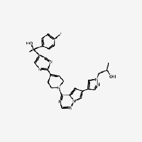 C[C@@H](O)Cn1cc(-c2cc3c(N4CC=C(c5ncc(C(C)(O)c6ccc(F)cc6)cn5)CC4)ncnn3c2)cn1